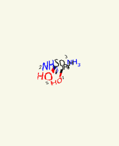 CC(C)O.N.N.O=S(=O)(O)O